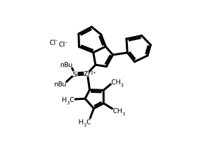 CCCC[Si](CCCC)=[Zr+2]([C]1=C(C)C(C)=C(C)C1C)[CH]1C=C(c2ccccc2)c2ccccc21.[Cl-].[Cl-]